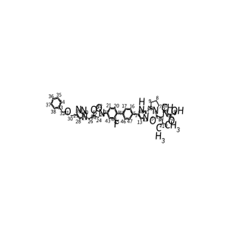 CC(C)[C@@H](C(=O)N1CCC[C@H]1c1ncc(-c2ccc(-c3ccc(N4C[C@@H](Cn5cc(COCc6ccccc6)nn5)OO4)cc3F)cc2)[nH]1)N(C)C(=O)O